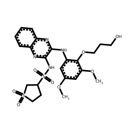 COc1cc(Nc2nc3ccccc3nc2NS(=O)(=O)C2CCS(=O)(=O)C2)c(OCCCO)c(OC)c1